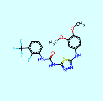 COc1ccc(Nc2nnc(NC(=O)Nc3cccc(C(F)(F)F)c3F)s2)cc1OC